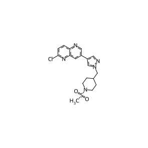 CS(=O)(=O)N1CCC(Cn2cc(-c3cnc4ccc(Cl)nc4c3)cn2)CC1